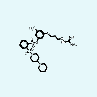 Cc1cc(OCCCONC(=N)N)cc(OS(=O)(=O)c2ccccc2S(=O)(=O)N2CCC(N3CCCCC3)CC2)c1